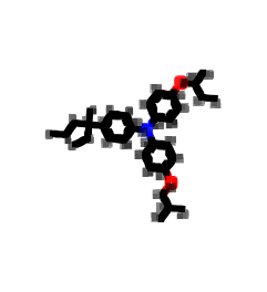 CCCC(C)(CC)c1ccc(N(c2ccc(OCC(C)C)cc2)c2ccc(OC(C)CC)cc2)cc1